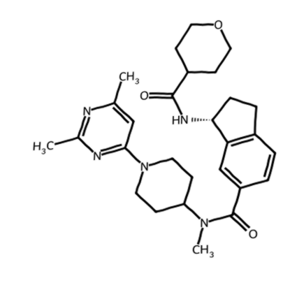 Cc1cc(N2CCC(N(C)C(=O)c3ccc4c(c3)[C@H](NC(=O)C3CCOCC3)CC4)CC2)nc(C)n1